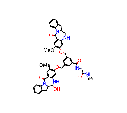 COc1cc2c(cc1OCc1cc(COc3cc4c(cc3OC)C(=O)N3c5ccccc5CC3[C@@H](O)N4)cc(C(=O)NCC(=O)NC(C)C)c1)NCC1Cc3ccccc3N1C2=O